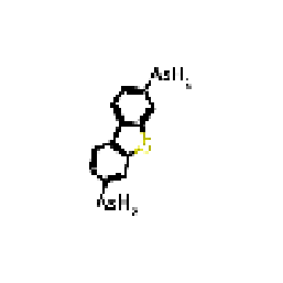 [AsH2]c1ccc2c(c1)sc1cc([AsH2])ccc12